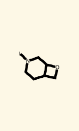 IN1CCC2COC2C1